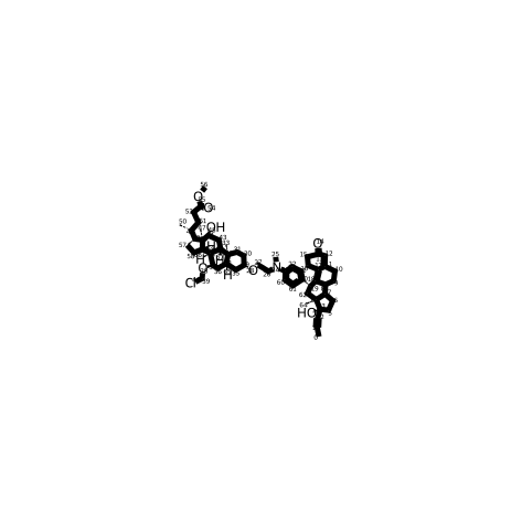 CC#C[C@]1(O)CCC2C3CCC4=CC(=O)CCC4=C3[C@@H](c3ccc(N(C)CCO[C@H]4CC[C@@]5(C)[C@@H](C4)C[C@@H](OCCl)[C@@H]4[C@@H]5C[C@H](O)[C@]5(C)[C@@H]([C@H](C)CCC(=O)OC)CC[C@@H]45)cc3)C[C@@]21C